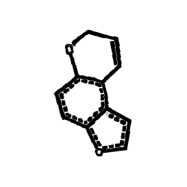 C1=Cc2c(ccc3occc23)OC1